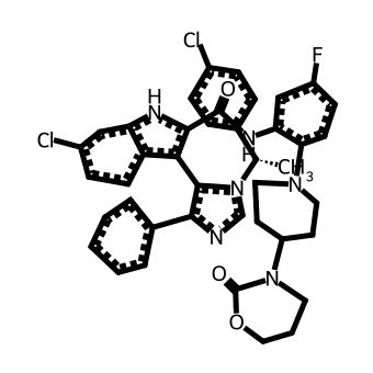 C[C@@H](c1ccc(Cl)cc1)n1cnc(-c2ccccc2)c1-c1c(C(=O)Nc2cc(F)ccc2N2CCC(N3CCCOC3=O)CC2)[nH]c2cc(Cl)ccc12